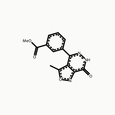 COC(=O)c1cccc(-c2n[nH]c(=O)c3noc(C)c23)c1